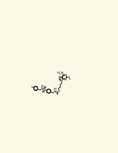 C=C(NCc1ccc(S(=O)(=O)NCc2ccc(C)cc2)cc1)OCCCCn1cnc2c(N)nc(SC)nc21